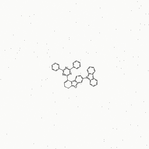 C1=C(c2nc(-c3ccccc3)nc(-c3ccccc3)n2)c2c(oc3cc(-n4c5ccccc5c5ccccc54)ccc23)CC1